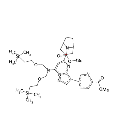 COC(=O)c1ccc(-c2cnn3c(N(COCC[Si](C)(C)C)COCC[Si](C)(C)C)cc(C4CC5CCC(C4)N5C(=O)OC(C)(C)C)nc23)cn1